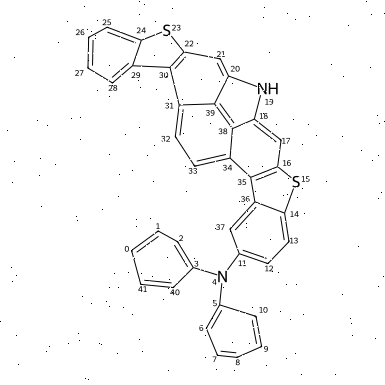 c1ccc(N(c2ccccc2)c2ccc3sc4cc5[nH]c6cc7sc8ccccc8c7c7ccc(c4c3c2)c5c67)cc1